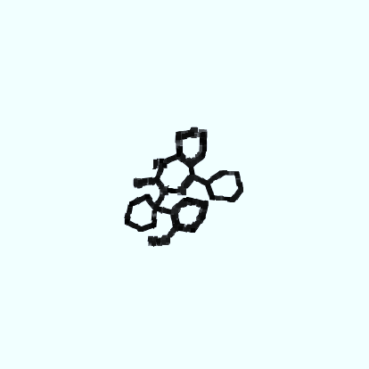 COc1ccccc1C1(N2N=C(C3CCCCC3)c3ccccc3NC2=O)CCCCC1